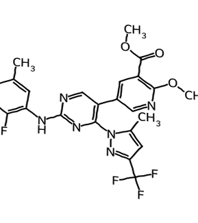 COC(=O)c1cc(-c2cnc(Nc3cc(C)ccc3F)nc2-n2nc(C(F)(F)F)cc2C)cnc1OC